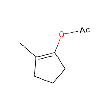 CC(=O)OC1=C(C)CCC1